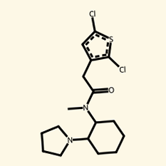 CN(C(=O)Cc1cc(Cl)sc1Cl)C1CCCCC1N1CCCC1